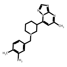 Cc1cc(C2CCCN(Cc3ccc(C)c(P)c3)C2)n2ncnc2n1